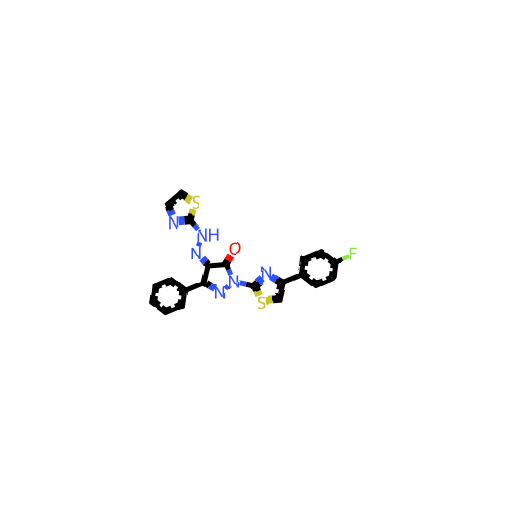 O=C1/C(=N\Nc2nccs2)C(c2ccccc2)=NN1c1nc(-c2ccc(F)cc2)cs1